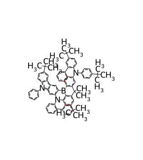 CC(C)(C)c1ccc(N(c2ccc3c(c2)C(C)(C)c2cc(C(C)(C)C)cc4c2B3c2cc3c5cc(C(C)(C)C)ccc5n(-c5ccccc5)c3cc2N4c2ccccc2-c2ccccc2)c2ccc(C(C)(C)C)cc2-c2ccccc2)cc1